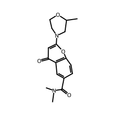 CC1CN(c2cc(=O)c3cc(C(=O)N(C)C)ccc3o2)CCO1